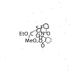 CCOC(=O)Cc1sc(F)c(N(C(=O)C2=C(C(=O)OCOC)CCCC2)C(=O)c2ccccc2)c1Cl